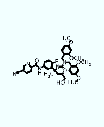 COc1ccc(CN(Cc2ccc(OC)cc2OC)C2=N[C@](C)(c3cc(NC(=O)c4ccc(C#N)cn4)ccc3F)C=C(CO)O2)c(OC)c1